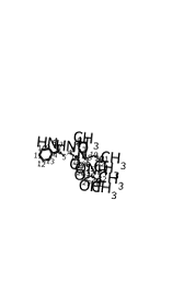 CC(=O)N[C@@H](Cc1c[nH]c2ccccc12)C(=O)N[C@@H](CC(C)C)C(=O)N[C@H](C(=O)O)C(C)C